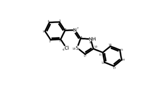 Clc1ccccc1N=c1[nH]c(-c2ccccc2)cs1